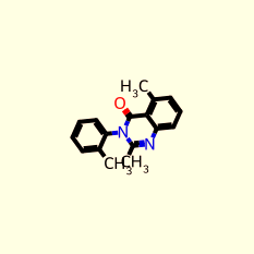 Cc1ccccc1-n1c(C)nc2cccc(C)c2c1=O